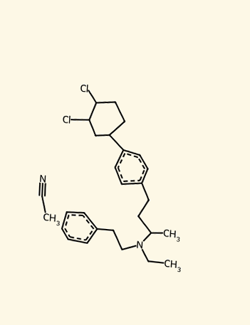 CC#N.CCN(CCc1ccccc1)C(C)CCc1ccc(C2CCC(Cl)C(Cl)C2)cc1